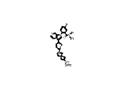 CSNC1CC2(CCN(C3CCC(c4cn(-c5ccc(F)cc5C(=O)N(C(C)C)C(C)C)c5cnccc45)CC3)C2)C1